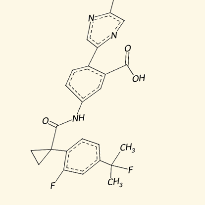 Cc1cnc(-c2ccc(NC(=O)C3(c4ccc(C(C)(C)F)cc4F)CC3)cc2C(=O)O)cn1